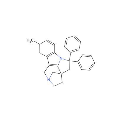 Cc1ccc2c(c1)c1c3n2C(c2ccccc2)(c2ccccc2)CC32CCN(C1)C2